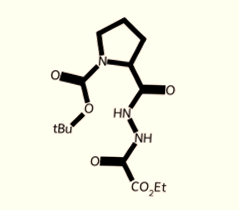 CCOC(=O)C(=O)NNC(=O)C1CCCN1C(=O)OC(C)(C)C